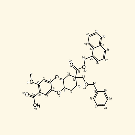 COc1cc(F)c(OC2CCC(COCc3ccccc3)(C(=O)OCc3cccc4ccccc34)CC2)cc1C(=O)O